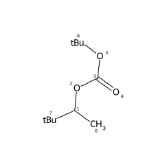 CC(OC(=O)OC(C)(C)C)C(C)(C)C